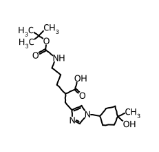 CC1(O)CCC(n2cnc(CC(CCCNC(=O)OC(C)(C)C)C(=O)O)c2)CC1